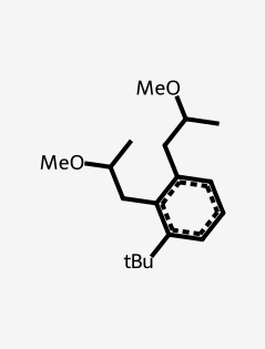 COC(C)Cc1cccc(C(C)(C)C)c1CC(C)OC